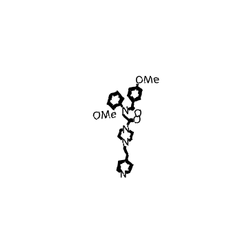 COc1ccc(C(=O)N(CC(=O)N2CCN(CCc3ccncc3)CC2)c2ccccc2OC)cc1